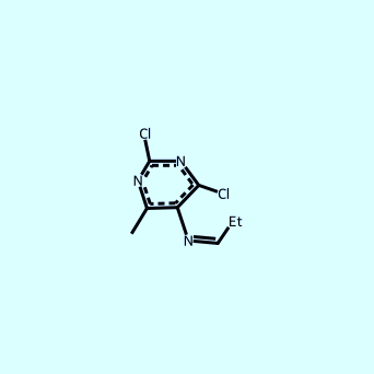 CC/C=N\c1c(C)nc(Cl)nc1Cl